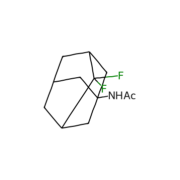 CC(=O)NC12CC3CC(C1)C(F)(F)C(C3)C2